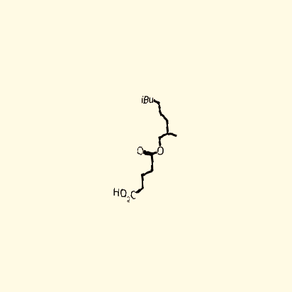 CCC(C)CCCC(C)COC(=O)CCCC(=O)O